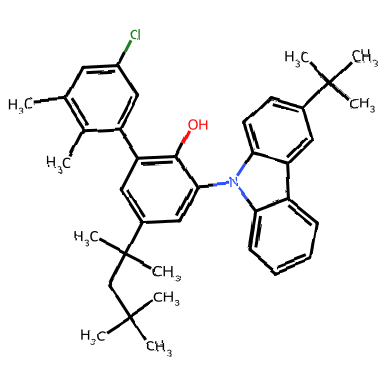 Cc1cc(Cl)cc(-c2cc(C(C)(C)CC(C)(C)C)cc(-n3c4ccccc4c4cc(C(C)(C)C)ccc43)c2O)c1C